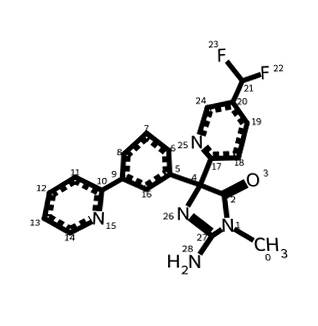 CN1C(=O)C(c2cccc(-c3ccccn3)c2)(c2ccc(C(F)F)cn2)N=C1N